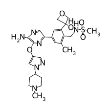 Cc1cc(-c2cnc(N)c(Oc3cnn(C4CCN(C)CC4)c3)n2)cc(C2(O)COC2)c1CNS(C)(=O)=O